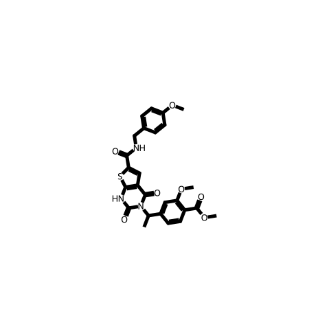 COC(=O)c1ccc(C(C)n2c(=O)[nH]c3sc(C(=O)NCc4ccc(OC)cc4)cc3c2=O)cc1OC